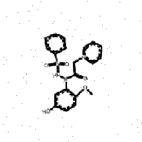 COc1ccc(O)cc1N(NS(=O)(=O)c1ccccc1)C(=O)C[n+]1ccccc1